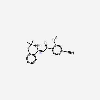 COc1cc(C#N)ccc1C(=O)/C=C1\NC(C)(C)Cc2ccccc21